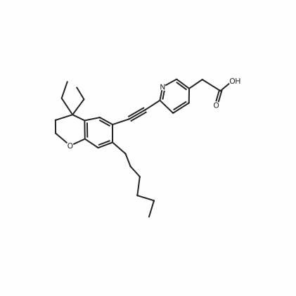 CCCCCCc1cc2c(cc1C#Cc1ccc(CC(=O)O)cn1)C(CC)(CC)CCO2